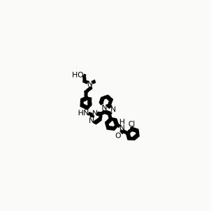 CN(CCO)CCc1ccc(Nc2nccc(-c3c(-c4cccc(NC(=O)c5ccccc5Cl)c4)nc4ccccn34)n2)cc1